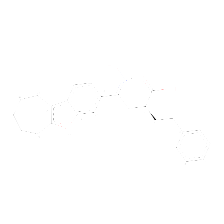 O=C(O)[C@@H](CCc1ccccc1)CC(=NO)c1ccc2c3c(oc2c1)CCCCC3